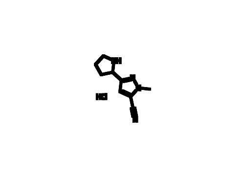 Cl.Cn1nc(C2CCCN2)cc1C#N